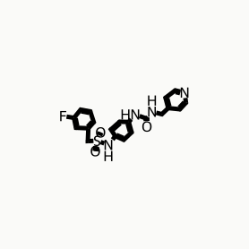 O=C(NCc1ccncc1)Nc1ccc(NS(=O)(=O)Cc2cccc(F)c2)cc1